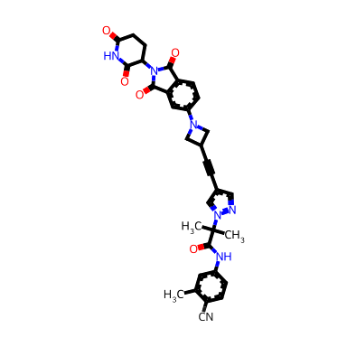 Cc1cc(NC(=O)C(C)(C)n2cc(C#CC3CN(c4ccc5c(c4)C(=O)N(C4CCC(=O)NC4=O)C5=O)C3)cn2)ccc1C#N